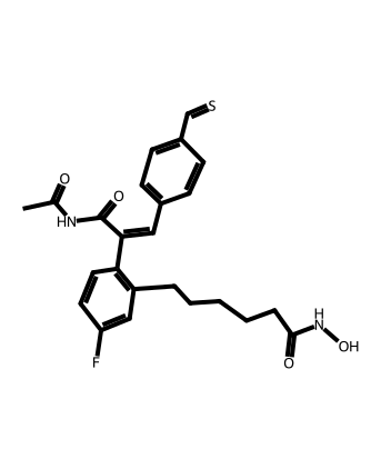 CC(=O)NC(=O)C(=Cc1ccc(C=S)cc1)c1ccc(F)cc1CCCCCC(=O)NO